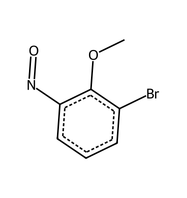 COc1c(Br)cccc1N=O